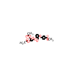 COC(=O)c1ccc(COc2cccc(O[C@H]3CC(OC(C)=O)[C@@H](COC(C)=O)O3)c2C=O)cc1